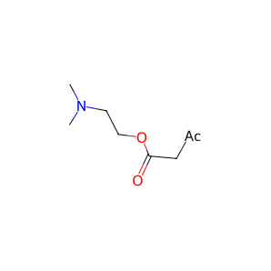 CC(=O)CC(=O)OCCN(C)C